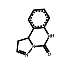 O=C1Nc2ccccc2C2CC=NN12